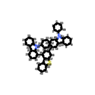 c1ccc(-n2c3ccccc3c3cc(-c4cc(-c5cccc6c7ccccc7n(-c7ccccc7)c56)c5c(c4)sc4ccccc45)ccc32)cc1